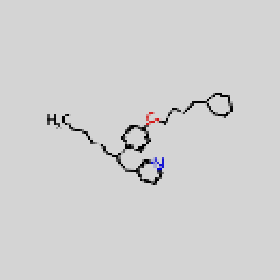 CCCCCCC(Cc1cccnc1)c1ccc(OCCCCC2CCCCC2)cc1